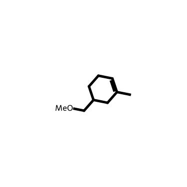 COCC1CCC=C(C)C1